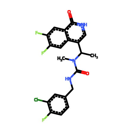 CC(c1c[nH]c(=O)c2cc(F)c(F)cc12)N(C)C(=O)NCc1ccc(F)c(Cl)c1